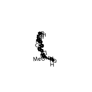 COc1nc(C[C@H]2CCc3c(-c4cccc(-c5ccn6c(=O)c(CNC[C@H]7CCC(=O)N7)cnc6c5)c4Cl)cccc32)c(Cl)cc1CNC[C@H]1CCC(=O)N1